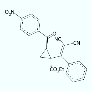 CCOC(=O)[C@]1(C(=C(C#N)C#N)c2ccccc2)C[C@H]1C(=O)c1ccc([N+](=O)[O-])cc1